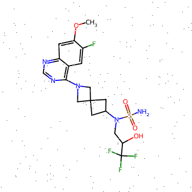 COc1cc2ncnc(N3CC4(CC(N(CC(O)C(F)(F)F)S(N)(=O)=O)C4)C3)c2cc1F